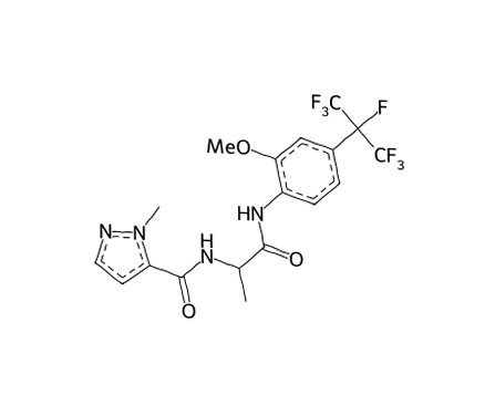 COc1cc(C(F)(C(F)(F)F)C(F)(F)F)ccc1NC(=O)C(C)NC(=O)c1ccnn1C